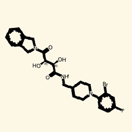 O=C(NCC1CCN(c2ccc(F)cc2Br)CC1)[C@H](O)[C@@H](O)C(=O)N1Cc2ccccc2C1